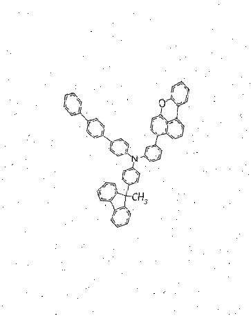 CC1(c2ccc(N(c3ccc(-c4ccc(-c5ccccc5)cc4)cc3)c3cccc(-c4ccc5c6c(cccc46)-c4ccccc4O5)c3)cc2)c2ccccc2-c2ccccc21